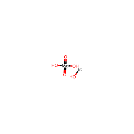 CCO.[O]=[Mo](=[O])([OH])[OH]